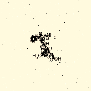 CCC1(CC)CC(=O)N([C@@H](CNCC(=O)O)C(=O)NCC(=O)NCC(=O)N[C@@H](Cc2ccccc2)C(=O)NCC(N)=O)C1=O